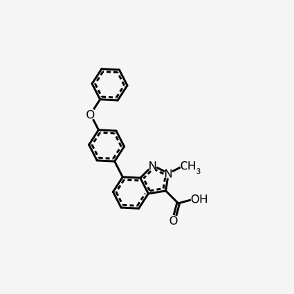 Cn1nc2c(-c3ccc(Oc4ccccc4)cc3)cccc2c1C(=O)O